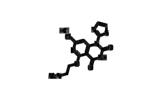 CNCCOc1nc(Cl)cc2c1c(=O)[nH]c(=O)n2-c1nccs1.Cl